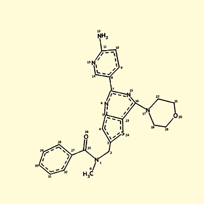 CN(Cc1cc2nc(-c3ccc(N)nc3)nc(N3CCOCC3)c2s1)C(=O)c1ccccc1